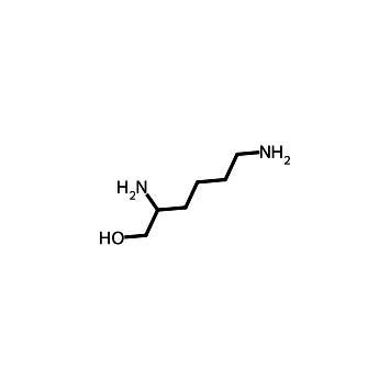 NCCCCC(N)CO